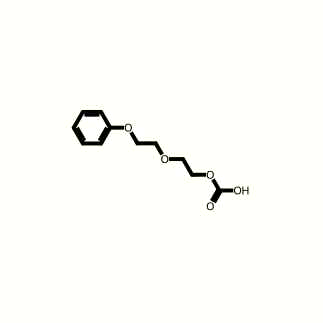 O=C(O)OCCOCCOc1ccccc1